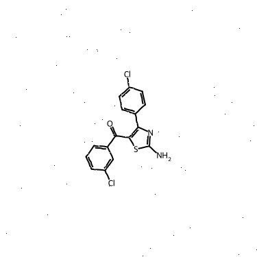 Nc1nc(-c2ccc(Cl)cc2)c(C(=O)c2cccc(Cl)c2)s1